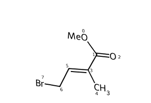 COC(=O)C(C)=CCBr